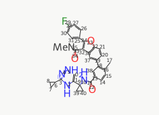 C=C(N/C(=N\N)C1CC1)C1(NC(=O)c2ccc(C)c(-c3ccc4oc(-c5ccc(F)cc5)c(C(=O)NC)c4c3)c2)CC1